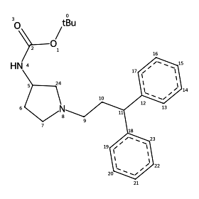 CC(C)(C)OC(=O)NC1CCN(CCC(c2ccccc2)c2ccccc2)C1